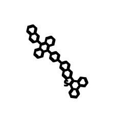 c1ccc2cc(-c3c4ccccc4c(-c4ccc(-c5ccc6cc7c(cc6c5)sc5c6ccccc6c6ccccc6c75)cc4)c4ccccc34)ccc2c1